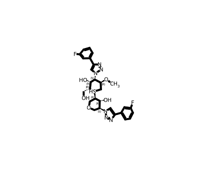 CO[C@H]1C[SH]([C@@H]2COC[C@H](n3cc(-c4cccc(F)c4)nn3)[C@H]2O)[C@H](CO)[C@H](O)[C@@H]1n1cc(-c2cccc(F)c2)nn1